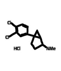 CNC1CCC2(c3ccc(Cl)c(Cl)c3)CC12.Cl